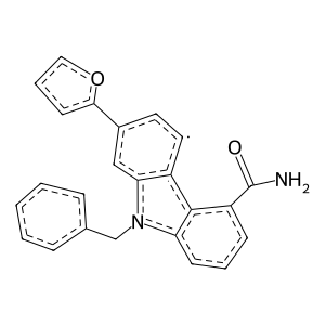 NC(=O)c1cccc2c1c1[c]cc(-c3ccco3)cc1n2Cc1ccccc1